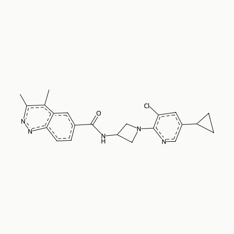 Cc1nnc2ccc(C(=O)NC3CN(c4ncc(C5CC5)cc4Cl)C3)cc2c1C